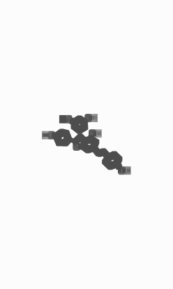 Oc1ccc(/C=C/c2cc(O)c3c(c2)O[C@@H](c2ccc(O)cc2)[C@@H]3c2cc(O)cc(O)c2)cc1